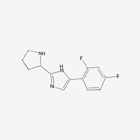 Fc1ccc(-c2cnc(C3CCCN3)[nH]2)c(F)c1